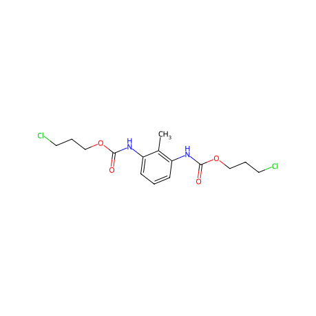 Cc1c(NC(=O)OCCCCl)cccc1NC(=O)OCCCCl